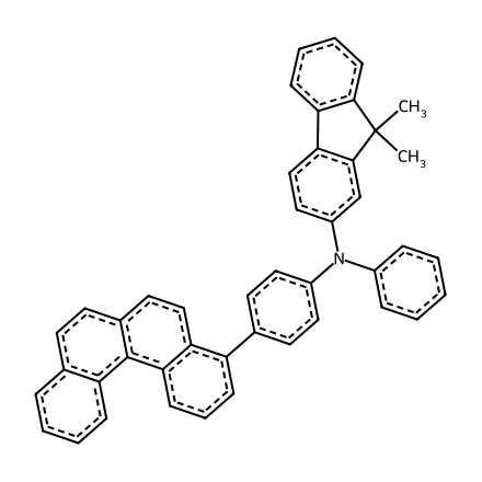 CC1(C)c2ccccc2-c2ccc(N(c3ccccc3)c3ccc(-c4cccc5c4ccc4ccc6ccccc6c45)cc3)cc21